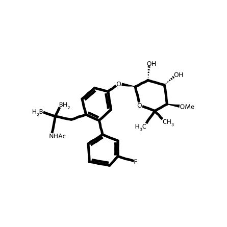 BC(B)(Cc1ccc(O[C@@H]2OC(C)(C)[C@H](OC)[C@@H](O)[C@H]2O)cc1-c1cccc(F)c1)NC(C)=O